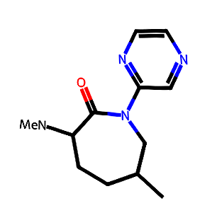 CNC1CCC(C)CN(c2cnccn2)C1=O